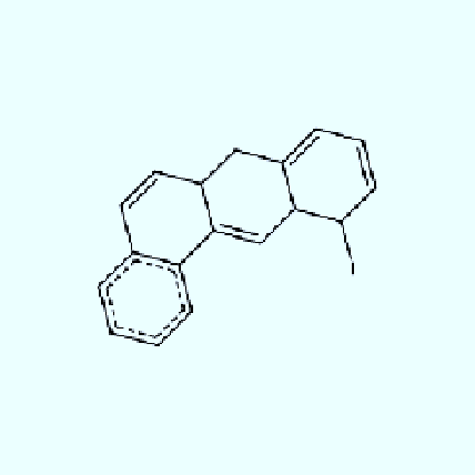 IC1C=CC=C2CC3C=Cc4ccccc4C3=CC21